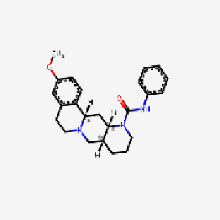 COc1ccc2c(c1)CCN1C[C@H]3CCCN(C(=O)Nc4ccccc4)[C@H]3C[C@@H]21